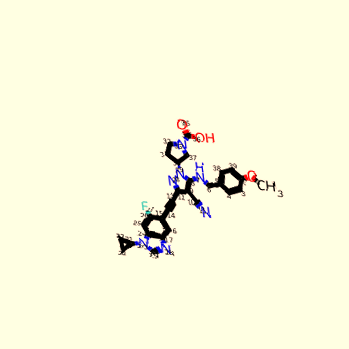 COc1ccc(CNc2c(C#N)c(C#Cc3cc4ncn(C5CC5)c4cc3F)nn2[C@H]2CCN(C(=O)O)C2)cc1